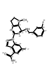 CN1CCc2nc(-n3ncc4c(C(N)=O)cc(F)cc43)nc(NCc3cccc(F)c3)c21